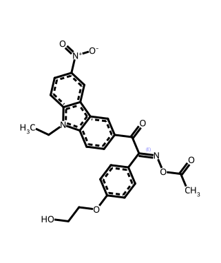 CCn1c2ccc(C(=O)/C(=N/OC(C)=O)c3ccc(OCCO)cc3)cc2c2cc([N+](=O)[O-])ccc21